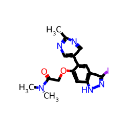 Cc1ncc(-c2cc3c(I)n[nH]c3cc2OCC(=O)N(C)C)cn1